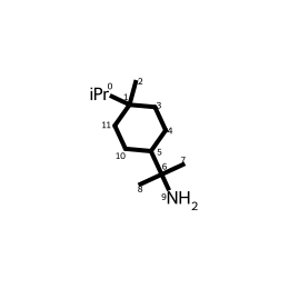 CC(C)C1(C)CCC(C(C)(C)N)CC1